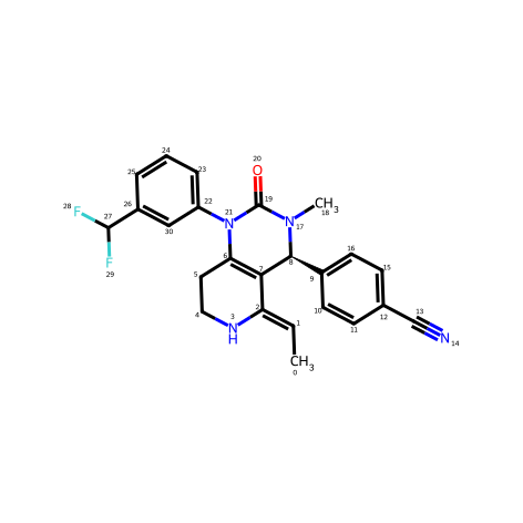 CC=C1NCCC2=C1[C@H](c1ccc(C#N)cc1)N(C)C(=O)N2c1cccc(C(F)F)c1